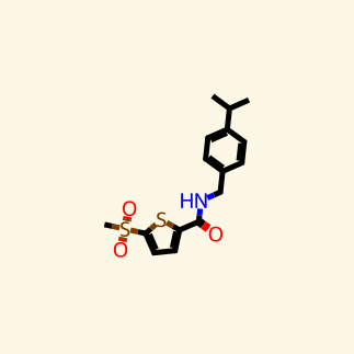 CC(C)c1ccc(CNC(=O)c2ccc(S(C)(=O)=O)s2)cc1